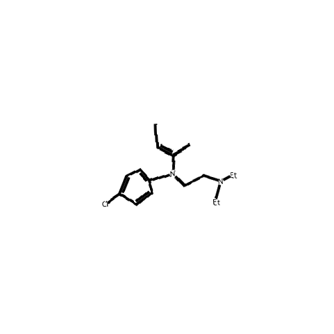 CC=C(C)N(CCN(CC)CC)c1ccc(Cl)cc1